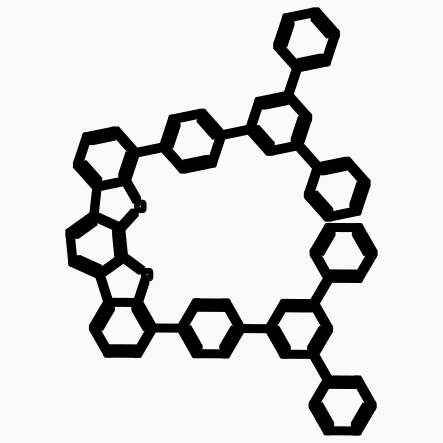 c1ccc(-c2cc(-c3ccccc3)cc(-c3ccc(-c4cccc5c4oc4c5ccc5c6cccc(-c7ccc(-c8cc(-c9ccccc9)cc(-c9ccccc9)c8)cc7)c6oc54)cc3)c2)cc1